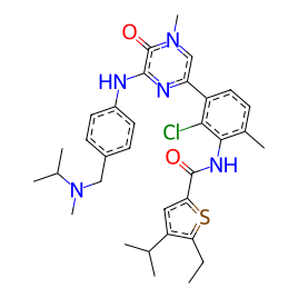 CCc1sc(C(=O)Nc2c(C)ccc(-c3cn(C)c(=O)c(Nc4ccc(CN(C)C(C)C)cc4)n3)c2Cl)cc1C(C)C